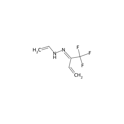 C=CN/N=C(\C=C)C(F)(F)F